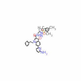 Cc1cc(C)c(S(=O)(=O)NC(CNC(=O)c2cn(CCc3ccccc3)c3cc(-c4cccc(N)n4)ccc3c2=O)C(=O)O)c(C)c1